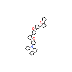 c1ccc(N(c2ccc3oc4c(-c5ccc6c(c5)oc5ccc(-c7cccc8c7oc7ccccc78)cc56)cccc4c3c2)c2cccc3ccccc23)cc1